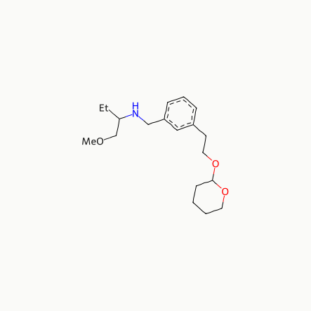 CCC(COC)NCc1cccc(CCOC2CCCCO2)c1